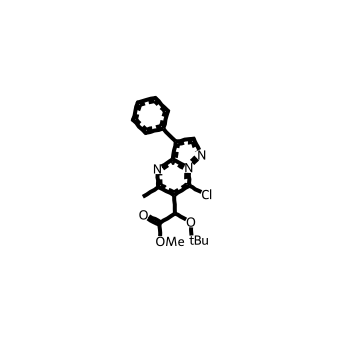 COC(=O)C(OC(C)(C)C)c1c(C)nc2c(-c3ccccc3)cnn2c1Cl